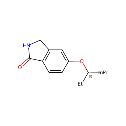 CCC[C@H](CC)Oc1ccc2c(c1)CNC2=O